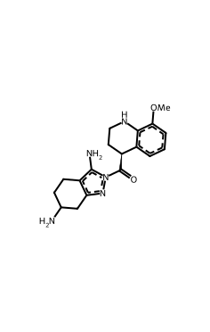 COc1cccc2c1NCC[C@@H]2C(=O)n1nc2c(c1N)CCC(N)C2